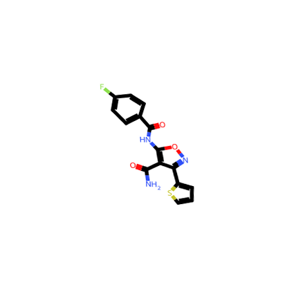 NC(=O)c1c(-c2cccs2)noc1NC(=O)c1ccc(F)cc1